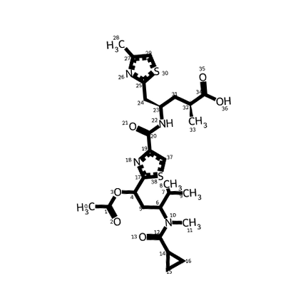 CC(=O)OC(CC(C(C)C)N(C)C(=O)C1CC1)c1nc(C(=O)N[C@@H](Cc2nc(C)cs2)C[C@H](C)C(=O)O)cs1